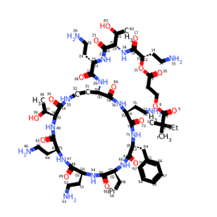 CCC(C)(C)C(=O)OCCC(=O)O[C@@H](CCN)C(=O)N[C@H](C(=O)N[C@@H](CCN)C(=O)N[C@H]1CCNC(=O)[C@H](C(C)O)NC(=O)[C@H](CCN)NC(=O)[C@H](CCN)NC(=O)[C@H](CC(C)C)NC(=O)[C@@H](Cc2ccccc2)NC(=O)[C@H](CCN)NC1=O)C(C)O